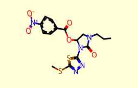 CCCN1CC(OC(=O)c2ccc([N+](=O)[O-])cc2)N(c2nnc(SC)s2)C1=O